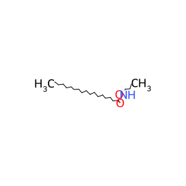 CCCCCCCCCCCCCCCCCC(=O)ONCCCC